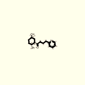 CC(C)[C@@H]1CC[C@@H](C)C[C@H]1C(=O)CCCc1ccccn1